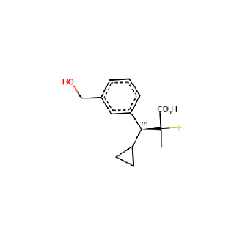 CC(F)(C(=O)O)[C@H](c1cccc(CO)c1)C1CC1